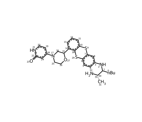 CCCCC(Nc1ccc2c(c1)Sc1cccc(C3CN(c4cc[nH]c(=O)c4)CCO3)c1S2)[C@H](C)N